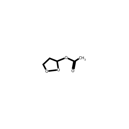 CC(=O)OC1CCOO1